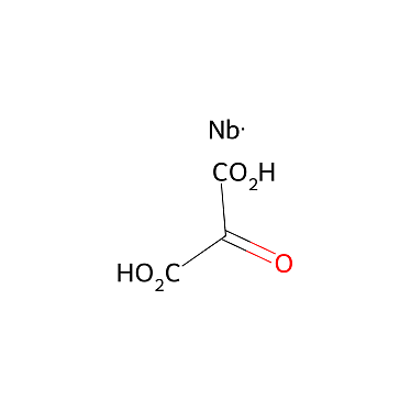 O=C(O)C(=O)C(=O)O.[Nb]